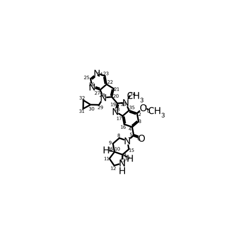 COc1cc(C(=O)N2CC[C@H]3CCN[C@H]3C2)cc2nc(-c3cc4cncnc4n3CC3CC3)n(C)c12